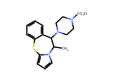 CCOC(=O)N1CCN(C2c3ccccc3Sc3cccn3C2C)CC1